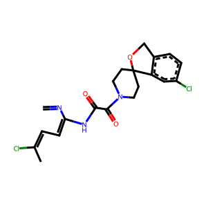 C=N/C(=C\C=C(/C)Cl)NC(=O)C(=O)N1CCC2(CC1)OCc1ccc(Cl)cc12